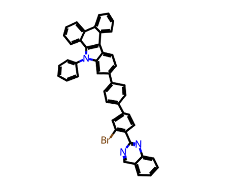 Brc1cc(-c2ccc(-c3ccc4c5c6ccccc6c6ccccc6c5n(-c5ccccc5)c4c3)cc2)ccc1-c1ncc2ccccc2n1